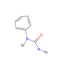 CC[N]C(=O)N(CC)c1ccccc1